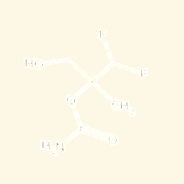 CC(CO)(OC(N)=O)C(F)F